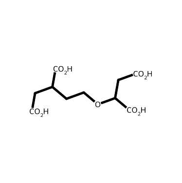 O=C(O)CC(CCOC(CC(=O)O)C(=O)O)C(=O)O